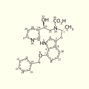 C[C@H](Cc1c[nH]c2c(OCc3ccccc3)cccc12)N(C[C@H](O)c1cccnc1)C(=O)O